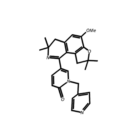 COc1cc2c(c3c1OC(C)(C)C3)C(c1ccc(=O)n(Cc3ccncc3)c1)=NC(C)(C)C2